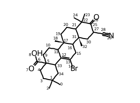 CC1(C)CCC2(C(=O)O)CCC3C(=C(Br)CC4[C@@]3(C)CCC3C(C)(C)C(=O)C(C#N)C[C@@]34C)C2C1